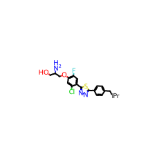 CC(C)Cc1ccc(-c2nnc(-c3cc(F)c(OC[C@H](N)CO)cc3Cl)s2)cc1